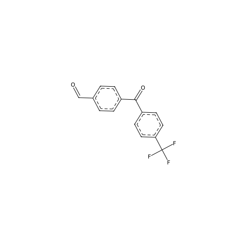 O=Cc1ccc(C(=O)c2ccc(C(F)(F)F)cc2)cc1